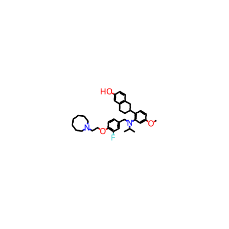 COc1ccc(C2CCc3cc(O)ccc3C2)c(N(Cc2ccc(OCCN3CCCCCCC3)c(F)c2)C(C)C)c1